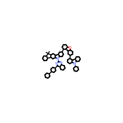 CC1(C)c2ccccc2-c2cc3c(cc21)c1cc(-c2cccc4oc5ccc(-c6cccc7c6c6ccccc6n7-c6ccccc6)cc5c24)ccc1n3-c1nc(-c2ccc(-c3ccccc3)cc2)c2ccccc2n1